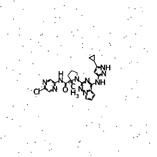 C[C@@]1(C(=O)Nc2cnc(Cl)cn2)CCCN1c1nc(Nc2cc(C3CC3)[nH]n2)c2cccn2n1